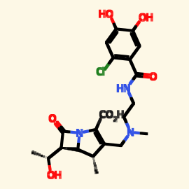 C[C@H]1C(CN(C)CCNC(=O)c2cc(O)c(O)cc2Cl)=C(C(=O)O)N2C(=O)[C@H]([C@@H](C)O)C12